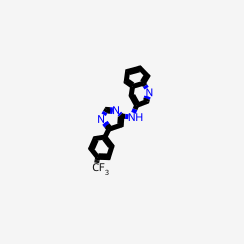 FC(F)(F)c1ccc(-c2cc(Nc3cnc4ccccc4c3)ncn2)cc1